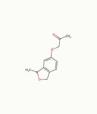 CB1OCc2ccc(OCC(C)=O)cc21